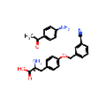 CC(=O)c1ccc(N)cc1.N#Cc1cccc(COc2ccc(C[C@H](N)C(=O)O)cc2)c1